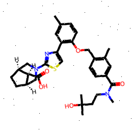 Cc1ccc(OCc2ccc(C(=O)N(C)CCC(C)(C)O)cc2C)c(-c2csc(N3C[C@H]4CC[C@@H](C3)[C@H]4C(=O)O)n2)c1